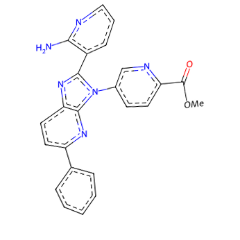 COC(=O)c1ccc(-n2c(-c3cccnc3N)nc3ccc(-c4ccccc4)nc32)cn1